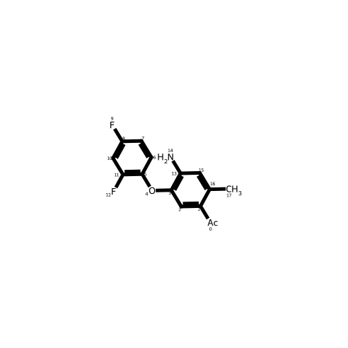 CC(=O)c1cc(Oc2ccc(F)cc2F)c(N)cc1C